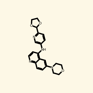 c1cc(Nc2ccc(C3OCCO3)nc2)c2cc(N3CCOCC3)ccc2n1